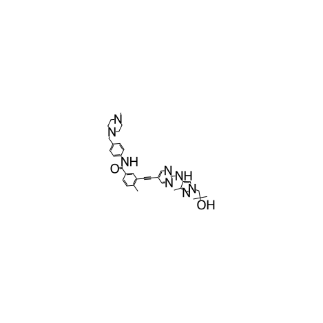 Cc1ccc(C(=O)Nc2ccc(CN3CCN(C)CC3)cc2)cc1C#Cc1cnc(Nc2cn(CC(C)(C)O)nc2C)nc1